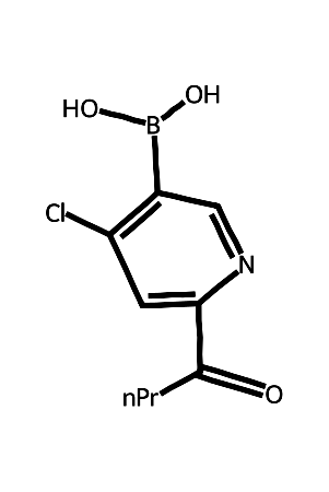 CCCC(=O)c1cc(Cl)c(B(O)O)cn1